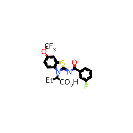 CCC(C(=O)O)n1c(=NC(=O)c2cccc(F)c2)sc2cc(OC(F)(F)F)ccc21